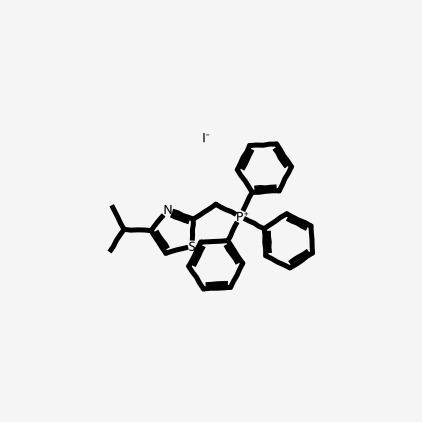 CC(C)c1csc(C[P+](c2ccccc2)(c2ccccc2)c2ccccc2)n1.[I-]